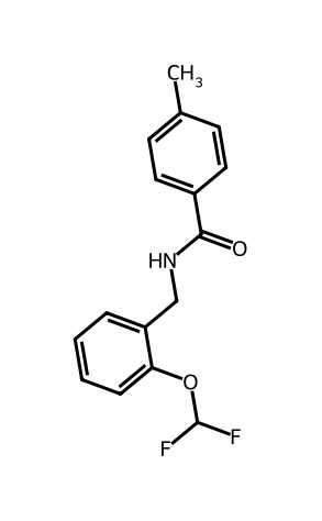 Cc1ccc(C(=O)NCc2ccccc2OC(F)F)cc1